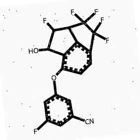 N#Cc1cc(F)cc(Oc2ccc3c4c2C(O)C(F)C4C(F)(F)C3(F)F)c1